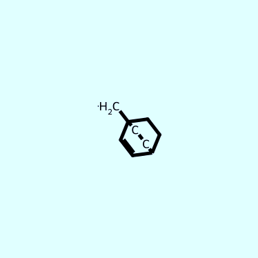 [CH2]C12C=CC(CC1)CC2